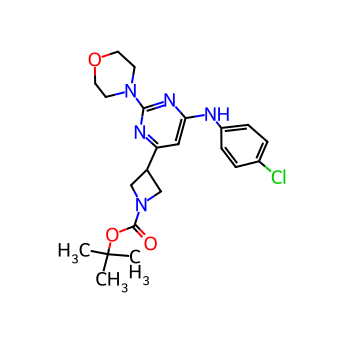 CC(C)(C)OC(=O)N1CC(c2cc(Nc3ccc(Cl)cc3)nc(N3CCOCC3)n2)C1